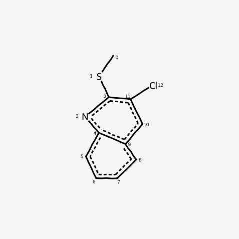 CSc1nc2ccccc2cc1Cl